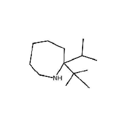 CC(C)C1(C(C)(C)C)CCCCCN1